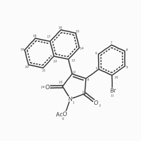 CC(=O)ON1C(=O)C(c2ccccc2Br)=C(c2cccc3ccccc23)C1=O